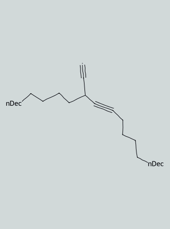 [C]#CC(C#CCCCCCCCCCCCCCC)CCCCCCCCCCCCCC